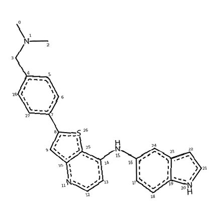 CN(C)Cc1ccc(-c2cc3nccc(Nc4ccc5[nH]ccc5c4)c3s2)cc1